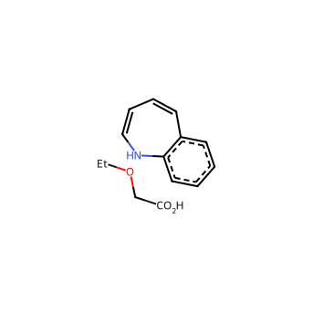 C1=CNc2ccccc2C=C1.CCOCC(=O)O